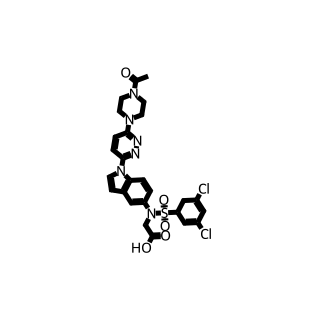 CC(=O)N1CCN(c2ccc(-n3ccc4cc(N(CC(=O)O)S(=O)(=O)C5C=C(Cl)C=C(Cl)C5)ccc43)nn2)CC1